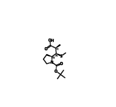 CS[C@H]([C@H](C)C(=O)O)[C@@H]1CCCN1C(=O)OC(C)(C)C